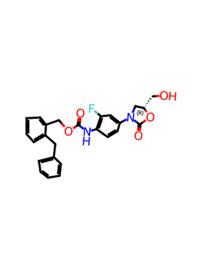 O=C(Nc1ccc(N2C[C@H](CO)OC2=O)cc1F)OCc1ccccc1Cc1ccccc1